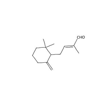 C=C1CCCC(C)(C)C1CC=C(C)C=O